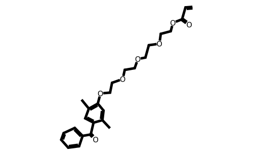 C=CC(=O)OCCOCCOCCOCCOc1cc(C)c(C(=O)c2ccccc2)cc1C